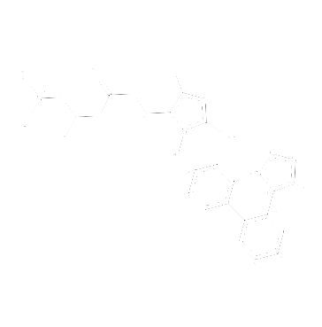 CCCCc1nc(Cl)c(COC(=O)OC(C)ON(O)O)n1Cc1ccc(-c2ccccc2-c2nn[nH]n2)cc1